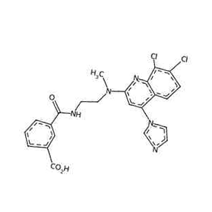 CN(CCNC(=O)c1cccc(C(=O)O)c1)c1cc(-n2ccnc2)c2ccc(Cl)c(Cl)c2n1